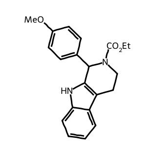 CCOC(=O)N1CCc2c([nH]c3ccccc23)C1c1ccc(OC)cc1